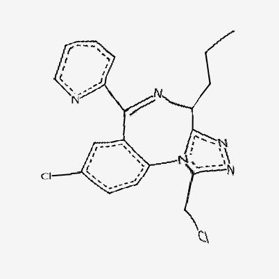 CCCC1N=C(c2ccccn2)c2cc(Cl)ccc2-n2c(CCl)nnc21